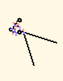 CCCCCCCCCCCCCCCCCCCCCCN(CCCCCCCCCCCCCCCCCCCCCC)C(=O)c1ccc(NNC(=O)[C@@H]2CCCN2C(=O)CNC(=O)[C@H](Cc2ccccc2)OC(N)=O)cc1